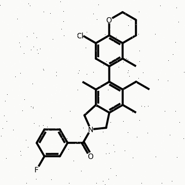 CCc1c(C)c2c(c(C)c1-c1cc(Cl)c3c(c1C)CCCO3)CN(C(=O)c1cccc(F)c1)C2